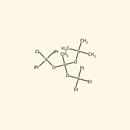 CC[Si](CC)(CC)O[Si](C)(O[Si](C)(C)C)O[Si](Cl)(C(C)C)C(C)C